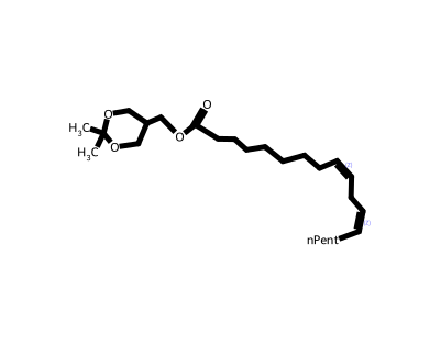 CCCCC/C=C\C/C=C\CCCCCCCC(=O)OCC1COC(C)(C)OC1